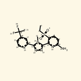 CCS(=O)(=O)c1ccc(N)nc1-c1nnc(-c2cc(C(F)(F)F)ccn2)n1C